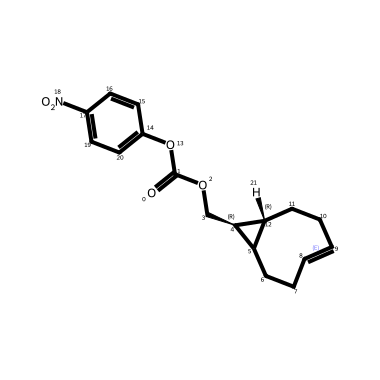 O=C(OC[C@@H]1C2CC/C=C/CC[C@H]21)Oc1ccc([N+](=O)[O-])cc1